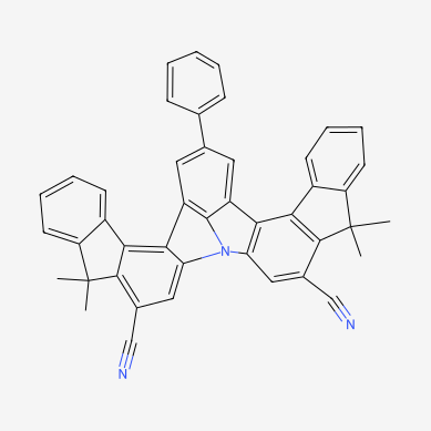 CC1(C)c2ccccc2-c2c1c(C#N)cc1c2c2cc(-c3ccccc3)cc3c4c5c(c(C#N)cc4n1c23)C(C)(C)c1ccccc1-5